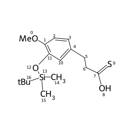 COc1ccc(CCC(O)=S)cc1O[Si](C)(C)C(C)(C)C